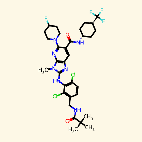 Cn1c(Nc2c(Cl)ccc(CNC(=O)C(C)(C)C)c2Cl)nc2cc(C(=O)N[C@H]3CC[C@H](C(F)(F)F)CC3)c(N3CCC(F)CC3)nc21